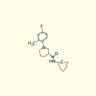 Cc1cc(F)ccc1N1CCC[C@H](C(=O)NC2CCCCC2)C1